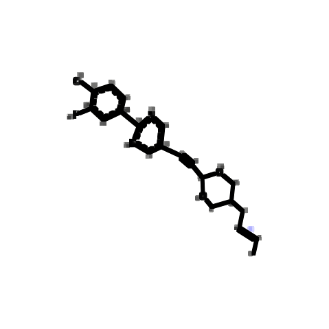 C/C=C/CC1COC(C#Cc2cnc(-c3ccc(Cl)c(F)c3)nc2)OC1